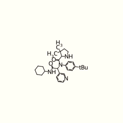 CC(C)(C)c1ccc(N(C(=O)C2NCCC2(C)C)C(C(=O)NC2CCCCC2)c2cccnc2)cc1